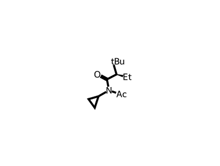 CC[C@@H](C(=O)N(C(C)=O)C1CC1)C(C)(C)C